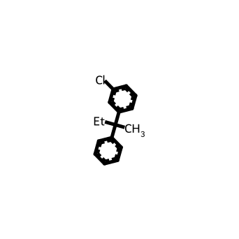 [CH2]CC(C)(c1ccccc1)c1cccc(Cl)c1